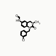 CN1Cc2cc(NC=O)ccc2N(Cc2cccc(Cl)c2)C1=O